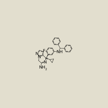 NC1=N[C@@](c2cc(NC(c3ccccc3)c3ccccc3)ccc2F)(C2CC2)c2ccnn2C1